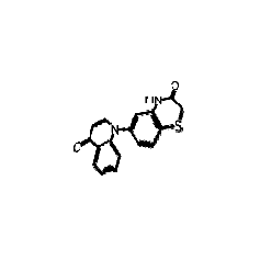 O=C1CSc2ccc(-n3ccc(=O)c4ccccc43)cc2N1